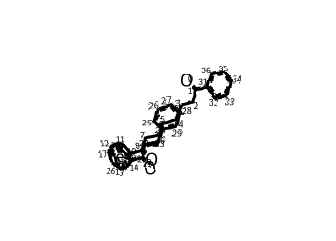 O=C(CCCCCCC(=O)[C]12[CH]3[CH]4[CH]5[CH]1[Fe]45321678[CH]2[CH]1[CH]6[C]7(C(=O)C=Cc1ccccc1)[CH]28)c1ccccc1